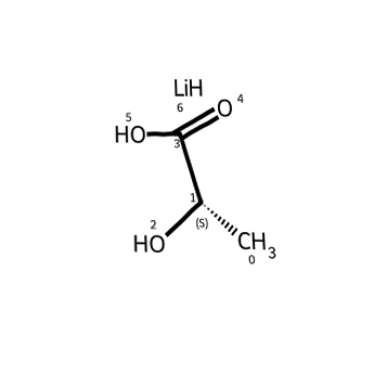 C[C@H](O)C(=O)O.[LiH]